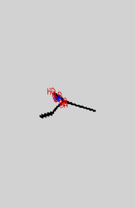 CCCCCCCCCCCCCCCCCC(=O)OC(CNC(=O)C(CC(=O)O)N=O)COC(O)CCCCCCCCCCCCCCCCC